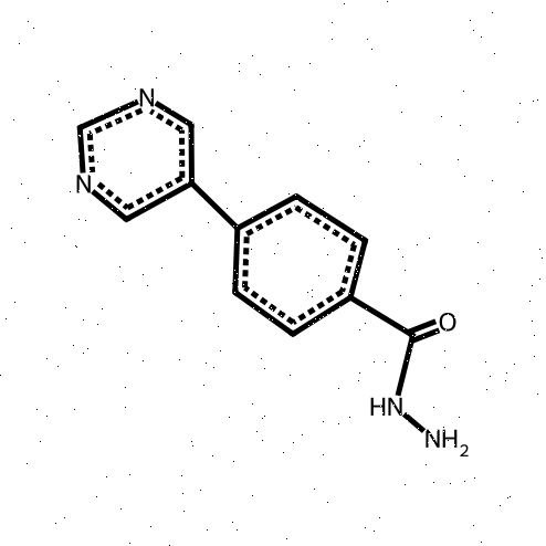 NNC(=O)c1ccc(-c2cncnc2)cc1